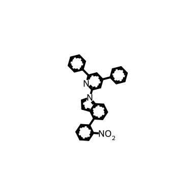 O=[N+]([O-])c1ccccc1-c1cccc2c1ccn2-c1cc(-c2ccccc2)cc(-c2ccccc2)n1